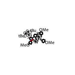 COc1ccc(CN(Cc2ccc(OC)cc2)S(=O)(=O)c2c(Br)ccc(-c3cccc4sc(N(C(=O)OC(C)(C)C)C(=O)OC(C)(C)C)nc34)c2-c2nnnn2Cc2ccc(OC)cc2)cc1